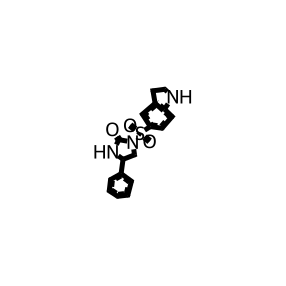 O=C1NC(c2ccccc2)CN1S(=O)(=O)c1ccc2c(c1)CCN2